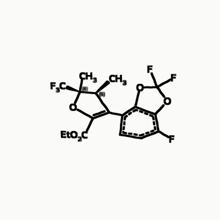 CCOC(=O)C1=C(c2ccc(F)c3c2OC(F)(F)O3)[C@H](C)[C@](C)(C(F)(F)F)O1